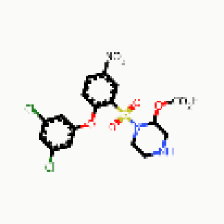 O=C(O)OC1CNCCN1S(=O)(=O)c1cc([N+](=O)[O-])ccc1Oc1cc(Cl)cc(Cl)c1